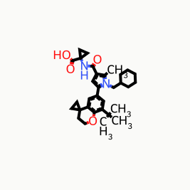 Cc1c(C(=O)NC2(C(=O)O)CC2)cc(-c2cc(C(C)(C)C)c3c(c2)C2(CCO3)CC2)n1CC1CCCCC1